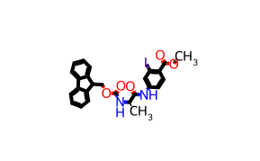 COC(=O)c1ccc(NC(=O)[C@H](C)NC(=O)OCC2c3ccccc3-c3ccccc32)cc1I